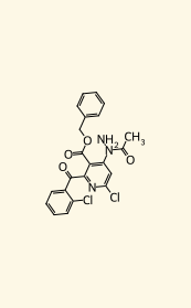 CC(=O)N(N)c1cc(Cl)nc(C(=O)c2ccccc2Cl)c1C(=O)OCc1ccccc1